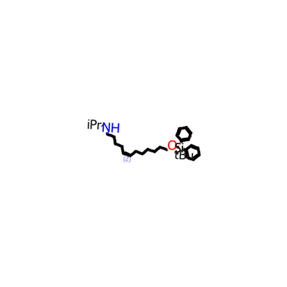 CC(C)NCCCC/C=C\CCCCCCO[Si](c1ccccc1)(c1ccccc1)C(C)(C)C